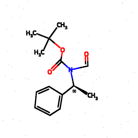 C[C@@H](c1ccccc1)N(C=O)C(=O)OC(C)(C)C